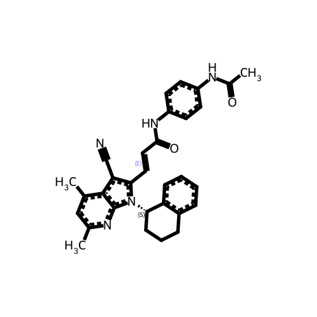 CC(=O)Nc1ccc(NC(=O)/C=C/c2c(C#N)c3c(C)cc(C)nc3n2[C@H]2CCCc3ccccc32)cc1